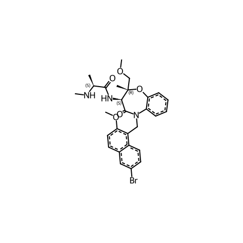 CN[C@@H](C)C(=O)N[C@@H]1C(=O)N(Cc2c(OC)ccc3cc(Br)ccc23)c2ccccc2O[C@@]1(C)COC